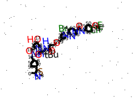 Cc1ncsc1-c1ccc(CNC(=O)[C@@H]2C[C@@H](O)CN2C(=O)C(NC(=O)CCOC[C@H]2CCN(c3ncc(C(=O)Nc4ccc(OC(F)(F)Cl)cc4)cc3Br)C2)C(C)(C)C)cc1